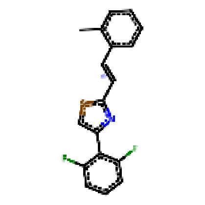 Cc1ccccc1/C=C/c1nc(-c2c(F)cccc2F)cs1